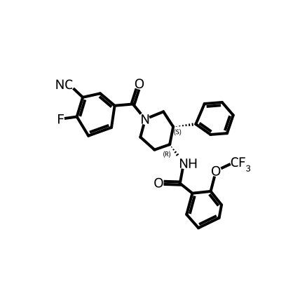 N#Cc1cc(C(=O)N2CC[C@@H](NC(=O)c3ccccc3OC(F)(F)F)[C@@H](c3ccccc3)C2)ccc1F